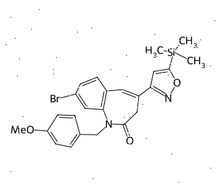 COc1ccc(CN2C(=O)CC(c3cc([Si](C)(C)C)on3)=Cc3ccc(Br)cc32)cc1